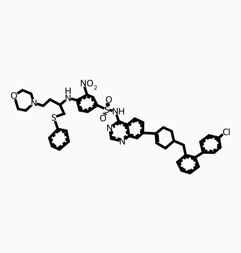 O=[N+]([O-])c1cc(S(=O)(=O)Nc2ncnc3cc(C4=CCC(Cc5ccccc5-c5ccc(Cl)cc5)CC4)ccc23)ccc1NC(CCN1CCOCC1)CSc1ccccc1